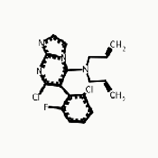 C=CCN(CC=C)c1c(-c2c(F)cccc2Cl)c(Cl)nc2nccn12